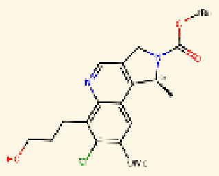 COc1cc2c3c(cnc2c(CCCO)c1Cl)CN(C(=O)OC(C)(C)C)[C@H]3C